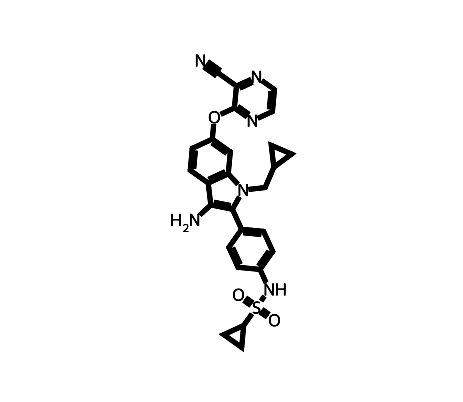 N#Cc1nccnc1Oc1ccc2c(N)c(-c3ccc(NS(=O)(=O)C4CC4)cc3)n(CC3CC3)c2c1